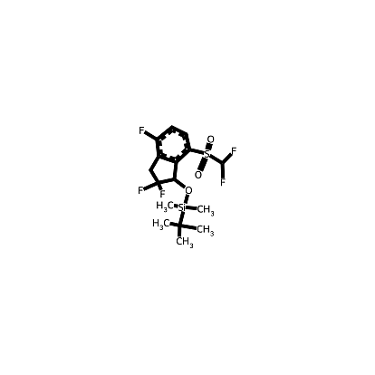 CC(C)(C)[Si](C)(C)OC1c2c(S(=O)(=O)C(F)F)ccc(F)c2CC1(F)F